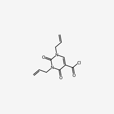 C=CCn1cc(C(=O)Cl)c(=O)n(CC=C)c1=O